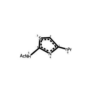 CCCc1csc(NC(C)=O)n1